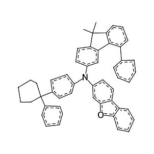 CC1(C)c2ccc(N(c3ccc(C4(c5ccccc5)CCCCC4)cc3)c3ccc4c(c3)oc3ccccc34)cc2-c2c(-c3ccccc3)cccc21